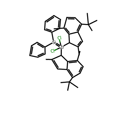 CC1=Cc2c(C(C)(C)C)ccc(C)c2[CH]1[Zr]([Cl])([Cl])([CH]1C(C)=Cc2c(C(C)(C)C)ccc(C)c21)=[Si](c1ccccc1)c1ccccc1